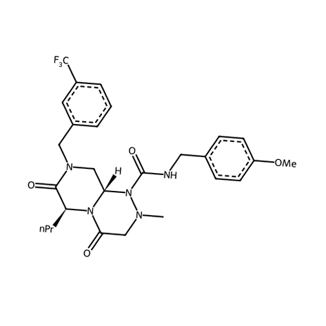 CCC[C@H]1C(=O)N(Cc2cccc(C(F)(F)F)c2)C[C@H]2N1C(=O)CN(C)N2C(=O)NCc1ccc(OC)cc1